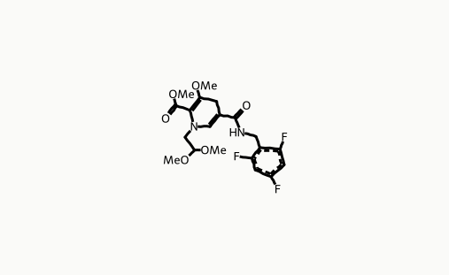 COC(=O)C1=C(OC)CC(C(=O)NCc2c(F)cc(F)cc2F)=CN1CC(OC)OC